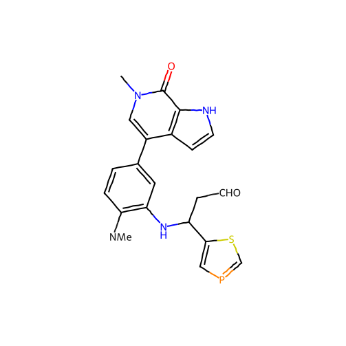 CNc1ccc(-c2cn(C)c(=O)c3[nH]ccc23)cc1NC(CC=O)c1cpcs1